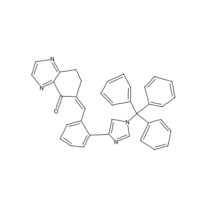 O=C1C(=Cc2ccccc2-c2cn(C(c3ccccc3)(c3ccccc3)c3ccccc3)cn2)CCc2nccnc21